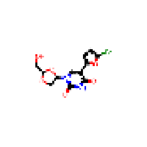 O=c1[nH]c(=O)n(C2COC(CO)O2)cc1-c1ccc(Br)o1